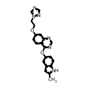 Cc1cc2cc(Oc3ncnc4cc(OCCn5cncn5)ccc34)ccc2[nH]1